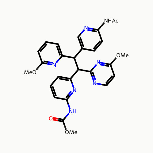 COC(=O)Nc1cccc(C(c2nccc(OC)n2)C(c2ccc(NC(C)=O)nc2)c2cccc(OC)n2)n1